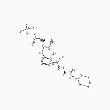 CC(F)(F)CCC(=O)NC1Cc2cccc(C(=O)OCOC(=O)OC3CCCCC3)c2OB1O